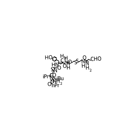 CCCC(=O)OCN(C(=O)[C@@H](N)C(C)CC)[C@H](CCc1nc(C(=O)N[C@@H](Cc2ccc(O)cc2)C[C@H](C)C(=O)NNOCCSSCCNC(=O)[C@@H](N)CCC=O)cs1)C(C)C